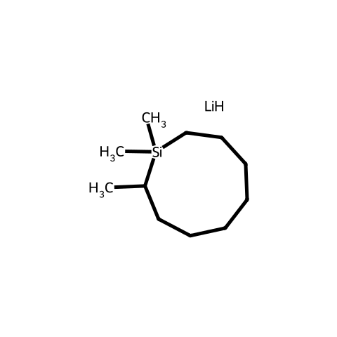 CC1CCCCCCC[Si]1(C)C.[LiH]